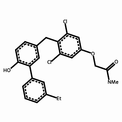 CCc1cccc(-c2cc(Cc3c(Cl)cc(OCC(=O)NC)cc3Cl)ccc2O)c1